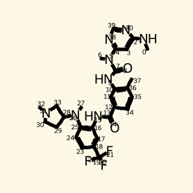 CNc1cc(N(C)C(=O)Nc2cc(C(=O)Nc3cc(C(F)(F)F)ccc3N(C)C3CCN(C)C3)ccc2C)ncn1